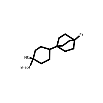 CCCCCCCC1(C#N)CCC(C23CCC(CC)(CC2)CC3)CC1